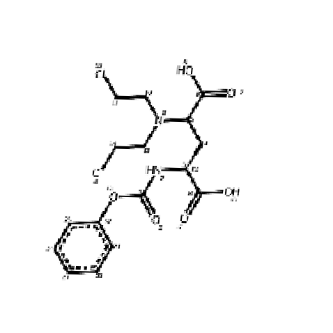 O=C(N[C@@H](CC(C(=O)O)N(CCCl)CCCl)C(=O)O)Oc1ccccc1